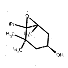 CC(C)C12OC1(C)C[C@@H](O)CC2(C)C